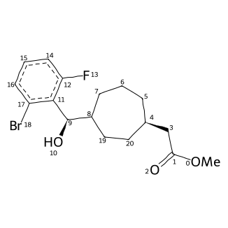 COC(=O)C[C@@H]1CCCC([C@@H](O)c2c(F)cccc2Br)CC1